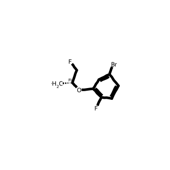 [CH2][C@H](CF)Oc1cc(Br)ccc1F